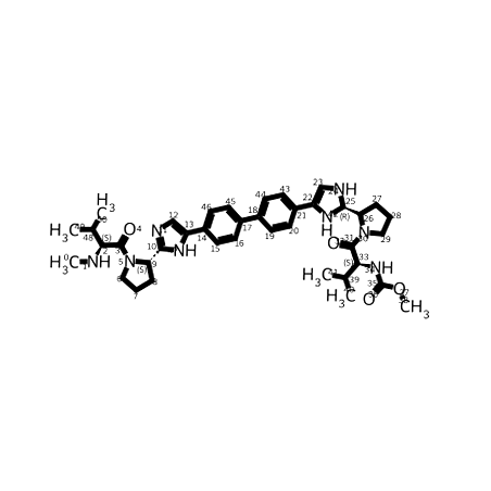 CN[C@H](C(=O)N1CCC[C@H]1c1ncc(-c2ccc(-c3ccc(C4=CN[C@@H](C5CCCN5C(=O)[C@@H](NC(=O)OC)C(C)C)N4)cc3)cc2)[nH]1)C(C)C